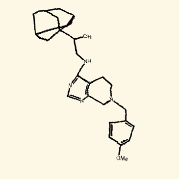 COc1ccc(CN2CCc3c(ncnc3NCC(O)C34CC5CC(CC(C5)C3)C4)C2)cc1